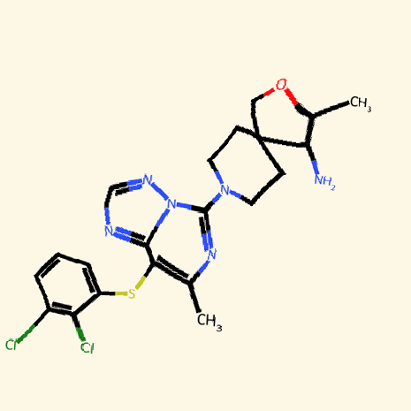 Cc1nc(N2CCC3(CC2)COC(C)C3N)n2ncnc2c1Sc1cccc(Cl)c1Cl